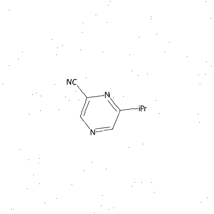 CC(C)c1cncc(C#N)n1